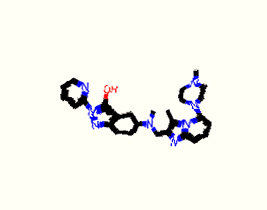 Cc1c(CN(C)C2CCc3nn(-c4ccccn4)c(O)c3C2)nc2cccc(N3CCN(C)CC3)n12